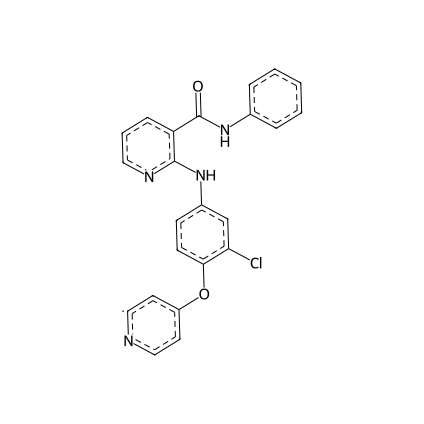 O=C(Nc1ccccc1)c1cccnc1Nc1ccc(Oc2c[c]ncc2)c(Cl)c1